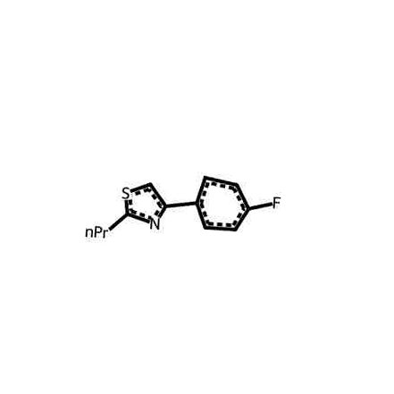 CCCc1nc(-c2ccc(F)cc2)cs1